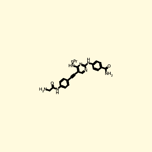 CCCNc1nc(Nc2ccc(C(N)=O)cc2)ncc1C#Cc1ccc(NC(=O)CN)cc1